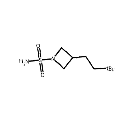 CC(C)(C)CCC1CN(S(N)(=O)=O)C1